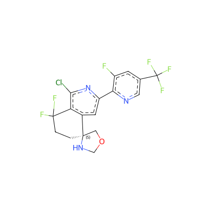 Fc1cc(C(F)(F)F)cnc1-c1cc2c(c(Cl)n1)C(F)(F)CC[C@@]21COCN1